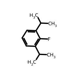 [CH2]C(C)c1cccc(C(C)C)c1F